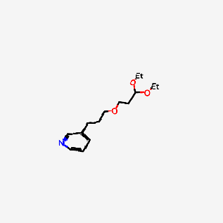 CCOC(CCOCCCc1cccnc1)OCC